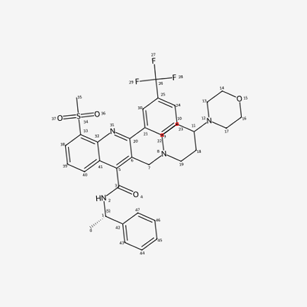 C[C@H](NC(=O)c1c(CN2CCC(N3CCOCC3)CC2)c(-c2cccc(C(F)(F)F)c2)nc2c(S(C)(=O)=O)cccc12)c1ccccc1